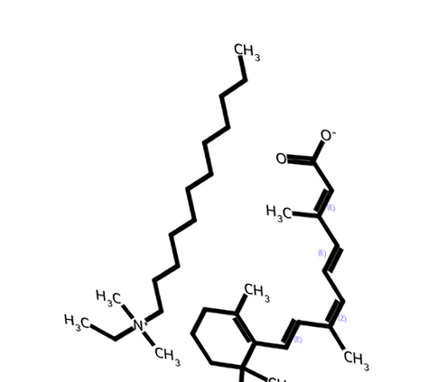 CC1=C(/C=C/C(C)=C\C=C\C(C)=C\C(=O)[O-])C(C)(C)CCC1.CCCCCCCCCCCC[N+](C)(C)CC